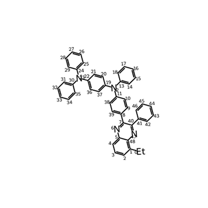 CCc1cccc2nc(-c3ccc(N(c4ccccc4)c4ccc(N(c5ccccc5)c5ccccc5)cc4)cc3)c(-c3ccccc3)nc12